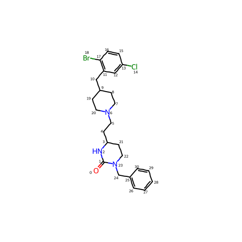 O=C1NC(CCN2CCC(Cc3cc(Cl)ccc3Br)CC2)CCN1Cc1ccccc1